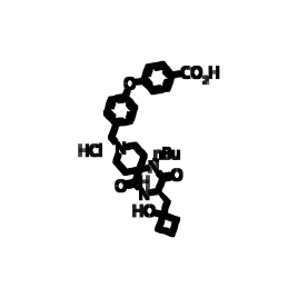 CCCCN1C(=O)[C@@H](CC2(O)CCC2)NC(=O)C12CCN(Cc1ccc(Oc3ccc(C(=O)O)cc3)cc1)CC2.Cl